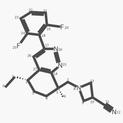 CC[C@H]1CC[C@](C)(CN2CC(C#N)C2)c2nnc(-c3c(F)cccc3F)cc21